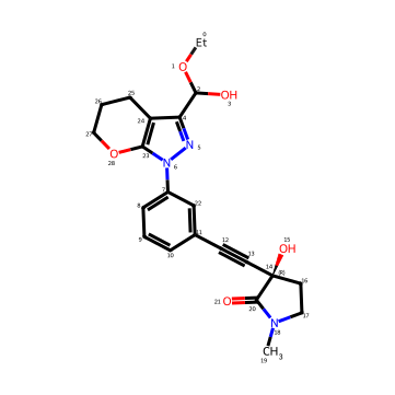 CCOC(O)c1nn(-c2cccc(C#C[C@]3(O)CCN(C)C3=O)c2)c2c1CCCO2